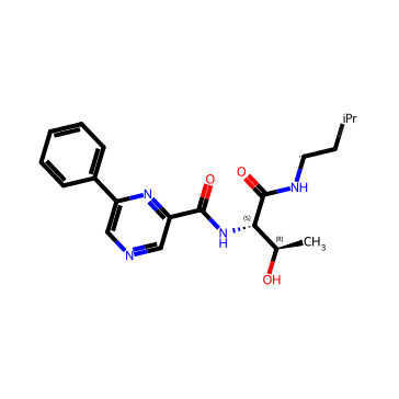 CC(C)C[CH]NC(=O)[C@@H](NC(=O)c1cncc(-c2ccccc2)n1)[C@@H](C)O